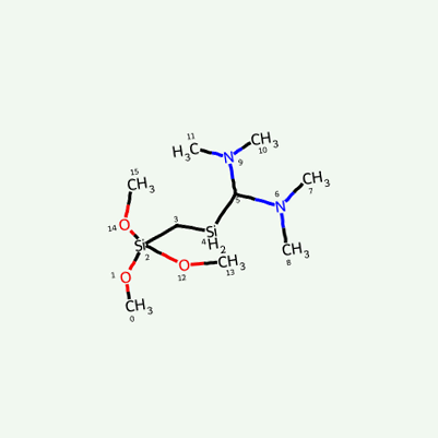 CO[Si](C[SiH2]C(N(C)C)N(C)C)(OC)OC